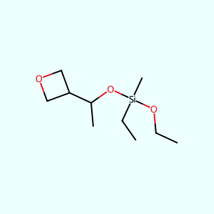 CCO[Si](C)(CC)OC(C)C1COC1